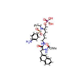 COC(=O)NC(Cc1ccc2ccccc2c1)C(=O)NCCCCC(COP(=O)(O)O)N(CC(C)C)S(=O)(=O)c1ccc(N)cc1